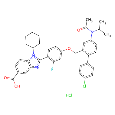 CC(=O)N(c1ccc(-c2ccc(Cl)cc2)c(COc2ccc(-c3nc4cc(C(=O)O)ccc4n3C3CCCCC3)c(F)c2)c1)C(C)C.Cl